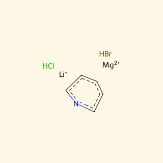 Br.Cl.[Li+].[Mg+2].c1ccncc1